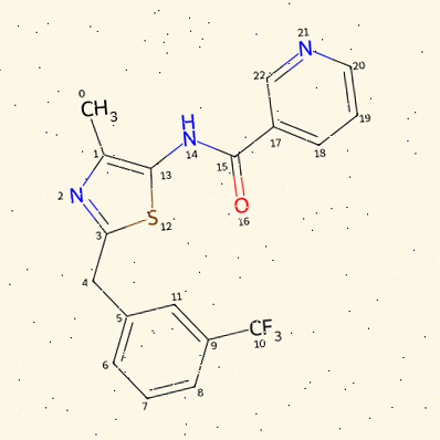 Cc1nc(Cc2cccc(C(F)(F)F)c2)sc1NC(=O)c1cccnc1